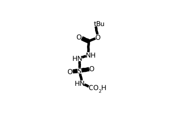 CC(C)(C)OC(=O)NNS(=O)(=O)NC(=O)O